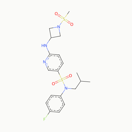 CC(C)CN(c1ccc(F)cc1)S(=O)(=O)c1ccc(NC2CN(S(C)(=O)=O)C2)nc1